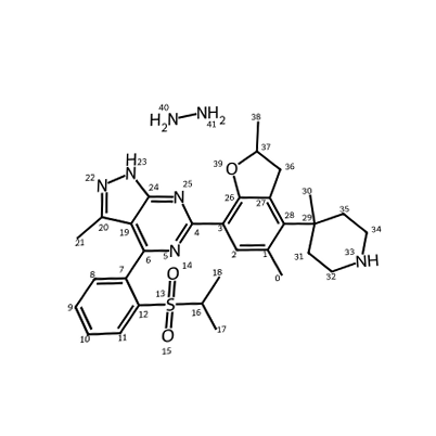 Cc1cc(-c2nc(-c3ccccc3S(=O)(=O)C(C)C)c3c(C)n[nH]c3n2)c2c(c1C1(C)CCNCC1)CC(C)O2.NN